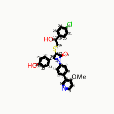 COc1ccncc1-c1ccc(N2C(=O)[C@H](SC[C@H](O)c3ccc(Cl)cc3)[C@H]2c2ccc(O)cc2)cc1